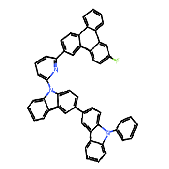 Fc1ccc2c(c1)c1ccccc1c1ccc(-c3cccc(-n4c5ccccc5c5cc(-c6ccc7c(c6)c6ccccc6n7-c6ccccc6)ccc54)n3)cc12